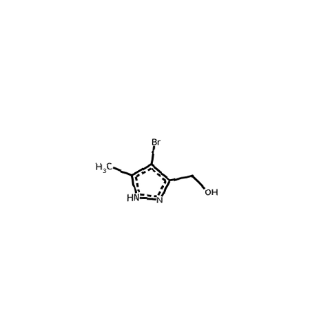 Cc1[nH]nc(CO)c1Br